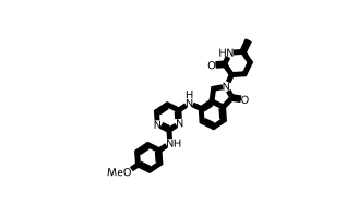 C=C1CCC(N2Cc3c(Nc4ccnc(Nc5ccc(OC)cc5)n4)cccc3C2=O)C(=O)N1